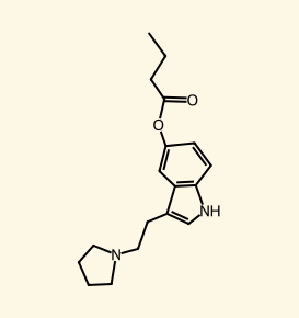 CCCC(=O)Oc1ccc2[nH]cc(CCN3CCCC3)c2c1